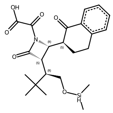 C[SiH](C)OC[C@H]([C@@H]1C(=O)N(C(=O)C(=O)O)[C@@H]1[C@@H]1CCc2ccccc2C1=O)C(C)(C)C